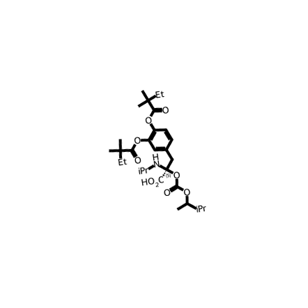 CCC(C)(C)C(=O)Oc1ccc(C[C@](NC(C)C)(OC(=O)OC(C)C(C)C)C(=O)O)cc1OC(=O)C(C)(C)CC